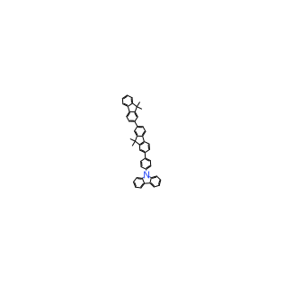 CC1(C)c2ccccc2-c2ccc(-c3ccc4c(c3)C(C)(C)c3cc(-c5ccc(-n6c7ccccc7c7ccccc76)cc5)ccc3-4)cc21